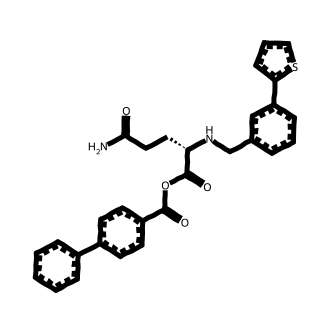 NC(=O)CC[C@H](NCc1cccc(-c2cccs2)c1)C(=O)OC(=O)c1ccc(-c2ccccc2)cc1